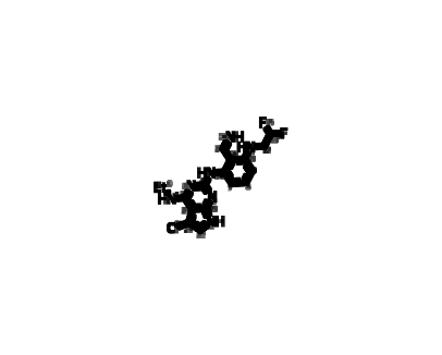 CCNc1nc(Nc2cccc(NCC(F)F)c2C=N)nc2[nH]cc(Cl)c12